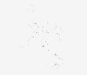 CCOC(=O)C[C@H](NC(=O)OCc1ccccc1)C(=O)NC(C(=O)NCc1cc(OCCC2CCCN(C(=O)OC(C)(C)C)C2)ccc1C)c1cnn(C)c1